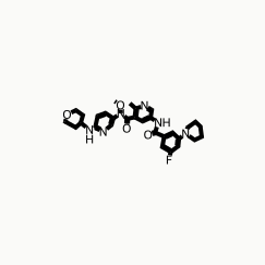 CON(C(=O)c1cc(NC(=O)c2cc(F)cc(N3CCCCC3)c2)cnc1C)c1ccc(NC2CCOCC2)nc1